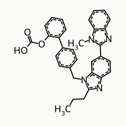 CCCc1nc2ccc(-c3nc4ccccc4n3C)cc2n1Cc1ccc(-c2ccccc2OC(=O)O)cc1